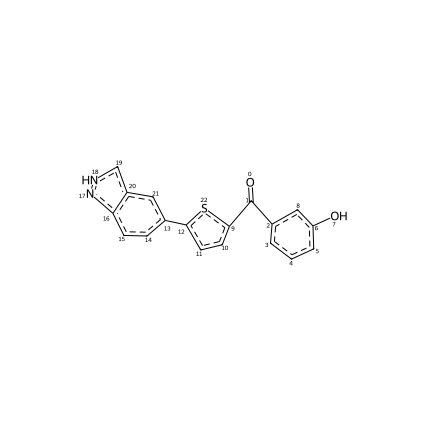 O=C(c1cccc(O)c1)c1ccc(-c2ccc3n[nH]cc3c2)s1